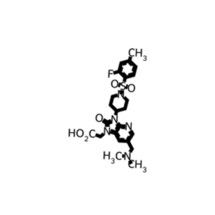 Cc1ccc(S(=O)(=O)N2CCC(n3c(=O)n(CC(=O)O)c4cc(CN(C)C)cnc43)CC2)c(F)c1